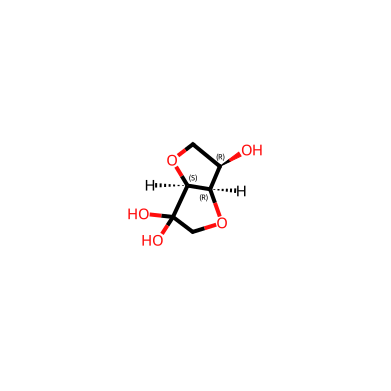 O[C@@H]1CO[C@H]2[C@@H]1OCC2(O)O